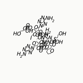 Nc1ncnc2c1ncn2[C@@H]1O[C@H](COP(=O)(O)OC2C(OCI)[C@@H](COP(=O)(O)OCCO)O[C@H]2n2cnc3c(N)ncnc32)C(O)C1OP(=O)(O)OC[C@]12CCCOC1C(OP(=O)(O)SCCO)[C@H](n1cnc3c(N)ncnc31)O2